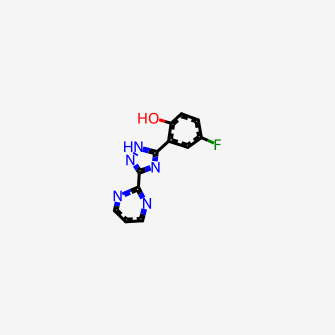 Oc1ccc(F)cc1-c1nc(-c2ncccn2)n[nH]1